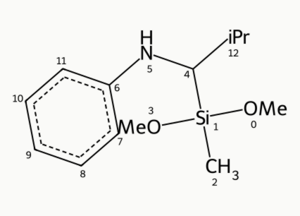 CO[Si](C)(OC)C(Nc1ccccc1)C(C)C